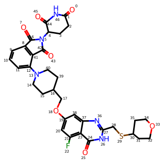 O=C1CCC(N2C(=O)c3cccc(N4CCC(COc5cc(F)c6c(=O)[nH]c(CSC7CCOCC7)nc6c5)CC4)c3C2=O)C(=O)N1